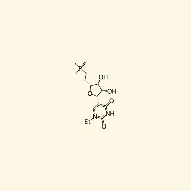 C=P(C)(C)CC[C@H]1O[C@@H](c2cn(CC)c(=O)[nH]c2=O)[C@H](O)[C@@H]1O